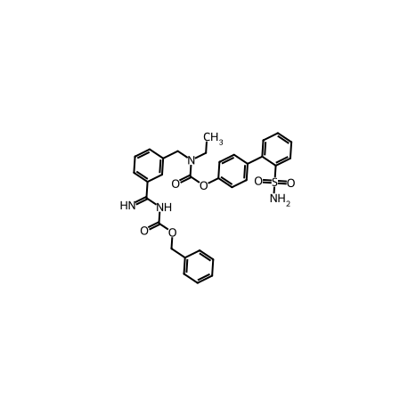 CCN(Cc1cccc(C(=N)NC(=O)OCc2ccccc2)c1)C(=O)Oc1ccc(-c2ccccc2S(N)(=O)=O)cc1